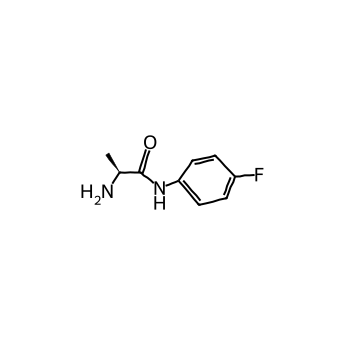 C[C@H](N)C(=O)Nc1ccc(F)cc1